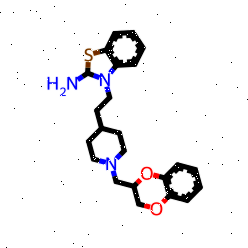 NC1Sc2ccccc2N1CCC1CCN(CC2COc3ccccc3O2)CC1